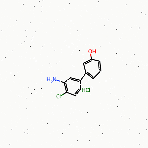 Cl.Nc1cc(-c2cccc(O)c2)ccc1Cl